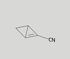 N#CC1=C2CC12